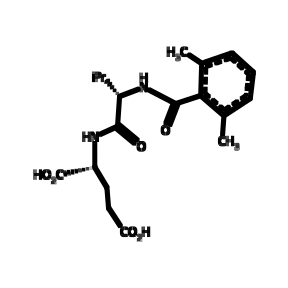 Cc1cccc(C)c1C(=O)N[C@H](C(=O)N[C@H](CCC(=O)O)C(=O)O)C(C)C